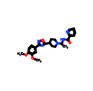 COc1ccc(-c2noc(C3CCN(C(C)NC(=O)c4ccccn4)CC3)n2)cc1OC